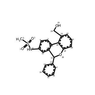 CS(=O)(=O)Nc1ccc2c(c1)C(c1ccccc1)Oc1cccc(CO)c1-2